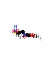 COCOc1ccc2cc(C(=O)N(C)Cc3cccc(-c4ccc(CC5SC(=O)NC5=O)cc4)c3)ccc2c1